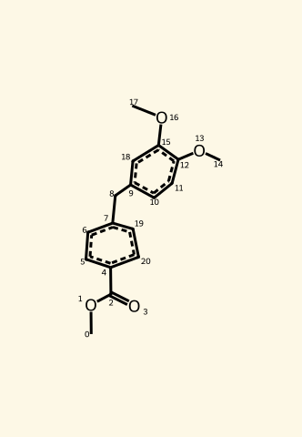 COC(=O)c1ccc(Cc2ccc(OC)c(OC)c2)cc1